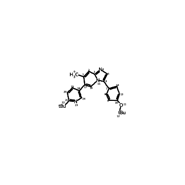 Cc1cc2ncc(-c3ccc(OC(C)(C)C)cc3)n2cc1-c1ccc(C(C)(C)C)nc1